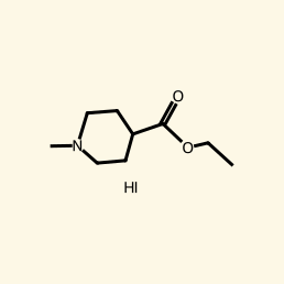 CCOC(=O)C1CCN(C)CC1.I